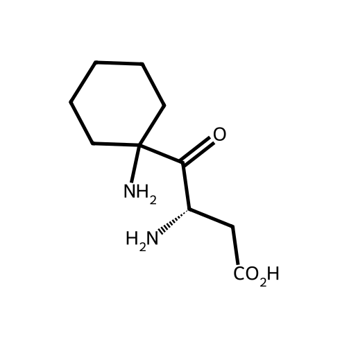 N[C@@H](CC(=O)O)C(=O)C1(N)CCCCC1